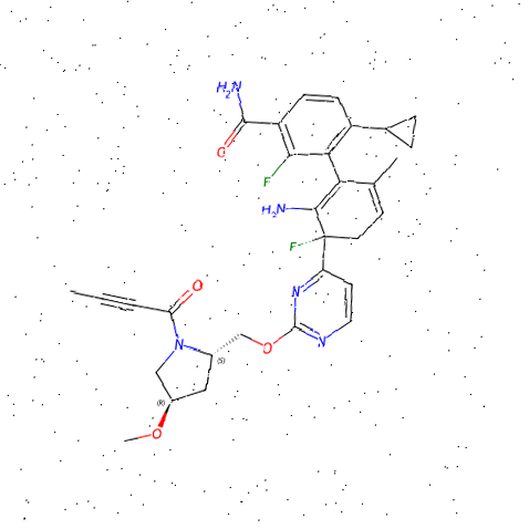 CC#CC(=O)N1C[C@H](OC)C[C@H]1COc1nccc(C2(F)CC=C(C)C(c3c(C4CC4)ccc(C(N)=O)c3F)=C2N)n1